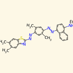 CCNc1ccc(/N=N/c2cc(C)c(/N=N/c3nc4cc(C)c(C)cc4s3)cc2C)c2ccccc12